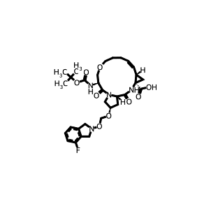 CC(C)(C)OC(=O)N[C@H]1COCCC/C=C\[C@@H]2C[C@@]2(C(=O)O)NC(=O)[C@@H]2C[C@@H](OCON3Cc4cccc(F)c4C3)CN2C1=O